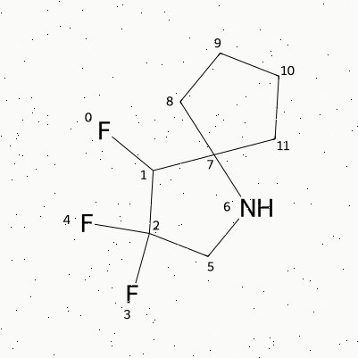 FC1C(F)(F)CNC12CCCC2